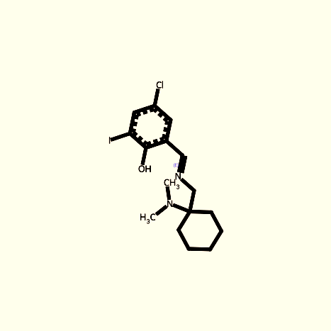 CN(C)C1(C/N=C/c2cc(Cl)cc(I)c2O)CCCCC1